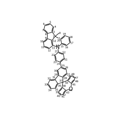 CC1(C)c2ccccc2-c2cccc(N(c3ccccc3)c3ccc(-c4ccc5c(c4)-c4ccccc4C54c5ccccc5Oc5ccccc54)cc3)c21